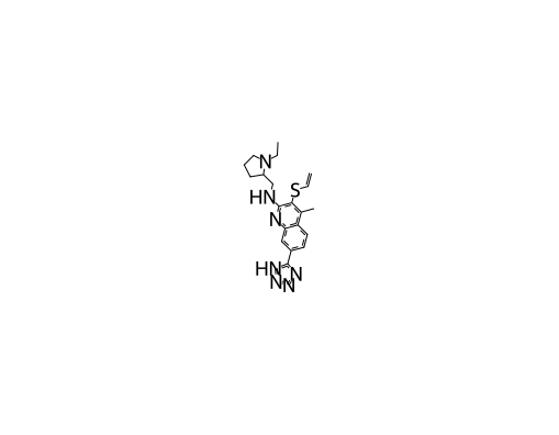 C=CSc1c(NCC2CCCN2CC)nc2cc(-c3nnn[nH]3)ccc2c1C